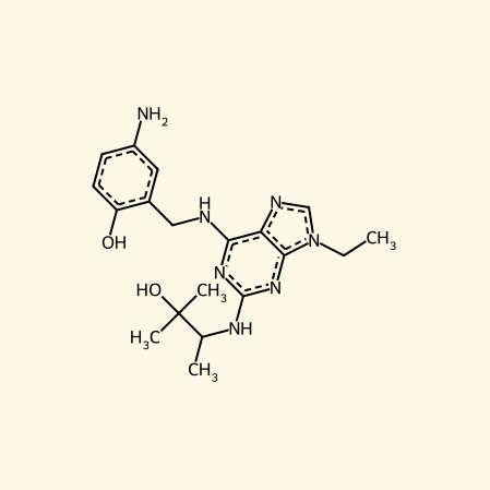 CCn1cnc2c(NCc3cc(N)ccc3O)nc(NC(C)C(C)(C)O)nc21